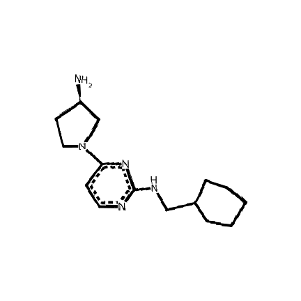 N[C@@H]1CCN(c2ccnc(NCC3CCCCC3)n2)C1